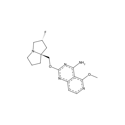 COc1nccc2nc(OC[C@@]34CCCN3C[C@H](F)C4)nc(N)c12